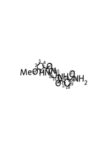 COc1cccc(C(=O)Nc2ccc(NC(=O)c3cccc(C(N)=O)c3)cn2)c1